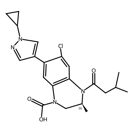 CC(C)CC(=O)N1c2cc(Cl)c(-c3cnn(C4CC4)c3)cc2N(C(=O)O)C[C@@H]1C